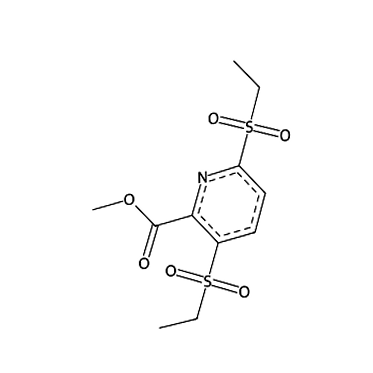 CCS(=O)(=O)c1ccc(S(=O)(=O)CC)c(C(=O)OC)n1